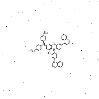 CC(C)(C)c1ccc(N(c2ccc(C(C)(C)C)cc2)c2cc3c4c(c2)Oc2cc(-c5cccc6ccccc56)ccc2B4c2ccc(-c4cccc5ccccc45)cc2O3)cc1